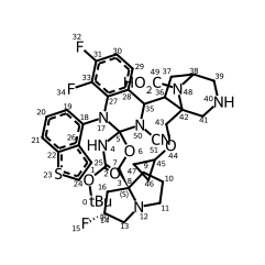 CC(C)(C)OC(=O)NC1(OC[C@@]23CCCN2C[C@H](F)C3)N(c2cccc3sccc23)c2c(ccc(F)c2F)C(C2CC3CNCC2(COC2CC2)N3C(=O)O)N1C#N